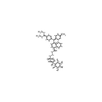 C=c1ccc(=C(c2ccc(N(CC)CC)cc2)c2ccc(NCCCS(=O)(=O)NS(=O)(=O)c3c(F)c(F)c(F)c(F)c3F)c3ccccc23)cc1